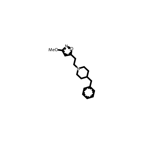 COc1cc(CCN2CCC(Cc3ccccc3)CC2)on1